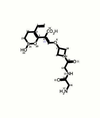 C=CC1=C(/C(=C/OC2CN(C(=O)CNC(=O)CN)C2)C(=O)O)OB(O)CC1